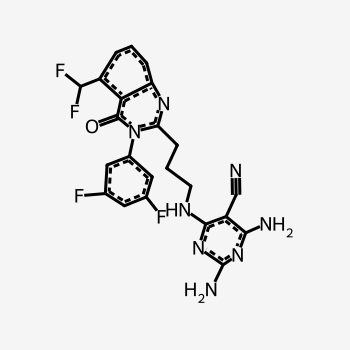 N#Cc1c(N)nc(N)nc1NCCCc1nc2cccc(C(F)F)c2c(=O)n1-c1cc(F)cc(F)c1